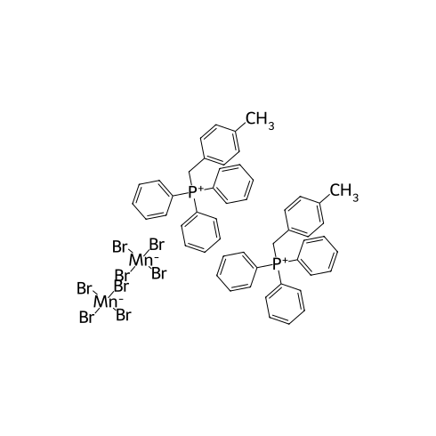 Cc1ccc(C[P+](c2ccccc2)(c2ccccc2)c2ccccc2)cc1.Cc1ccc(C[P+](c2ccccc2)(c2ccccc2)c2ccccc2)cc1.[Br][Mn-]([Br])([Br])[Br].[Br][Mn-]([Br])([Br])[Br]